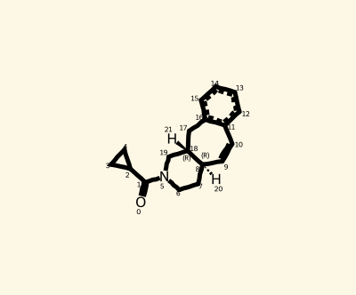 O=C(C1CC1)N1CC[C@@H]2C=Cc3ccccc3C[C@H]2C1